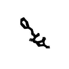 O=C(NC1CN(O)C1=O)OCc1ccccc1